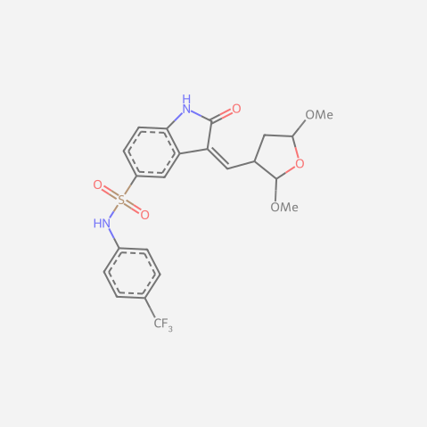 COC1CC(C=C2C(=O)Nc3ccc(S(=O)(=O)Nc4ccc(C(F)(F)F)cc4)cc32)C(OC)O1